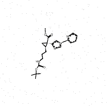 COC(=O)[C@]1(c2cn(-c3ccccn3)cn2)C[C@@H]1CCCNC(=O)OC(C)(C)C